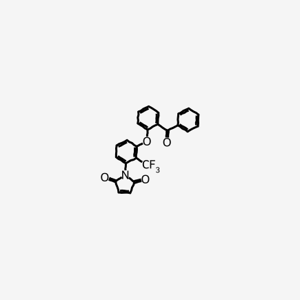 O=C(c1ccccc1)c1ccccc1Oc1cccc(N2C(=O)C=CC2=O)c1C(F)(F)F